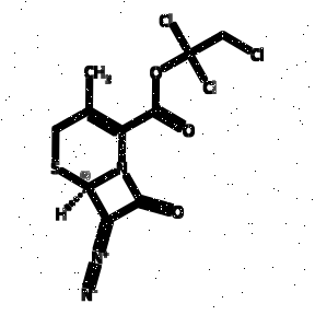 CC1=C(C(=O)OC(Cl)(Cl)CCl)N2C(=O)C(=[N+]=[N-])[C@H]2SC1